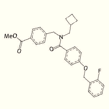 COC(=O)c1ccc(CN(CC2CCC2)C(=O)c2ccc(OCc3ccccc3F)cc2)cc1